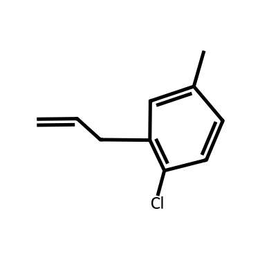 C=CCc1cc(C)ccc1Cl